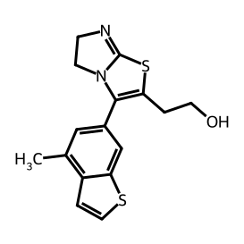 Cc1cc(C2=C(CCO)SC3=NCCN32)cc2sccc12